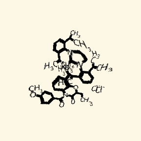 CCC1Oc2c(/[CH]=[Ru+2]/[CH]3N(c4c(C(C)C)cccc4C(C)C)CCN3c3c(C(C)C)cccc3C(C)C)cccc2N(C(=O)c2ccc(OC)cc2)C1=O.[Cl-].[Cl-]